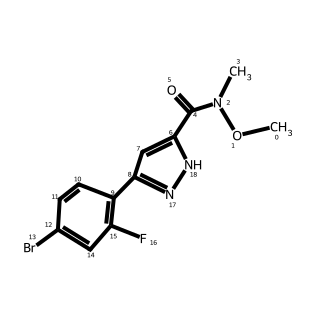 CON(C)C(=O)c1cc(-c2ccc(Br)cc2F)n[nH]1